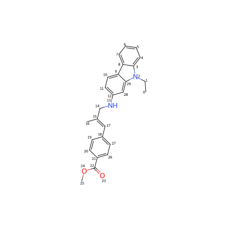 CCn1c2ccccc2c2ccc(NCC(C)=Cc3ccc(C(=O)OC)cc3)cc21